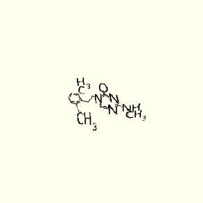 CNc1ncn(CCc2c(C)cccc2C)c(=O)n1